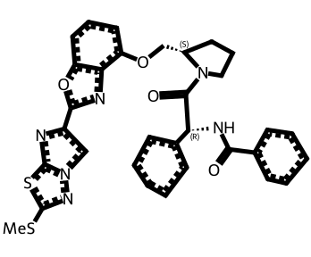 CSc1nn2cc(-c3nc4c(OC[C@@H]5CCCN5C(=O)[C@H](NC(=O)c5ccccc5)c5ccccc5)cccc4o3)nc2s1